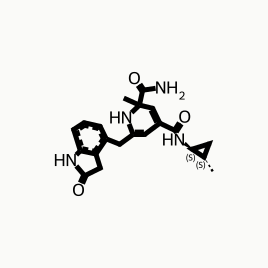 C[C@H]1C[C@@H]1NC(=O)C1=CC(C)(C(N)=O)NC(Cc2cccc3c2CC(=O)N3)=C1